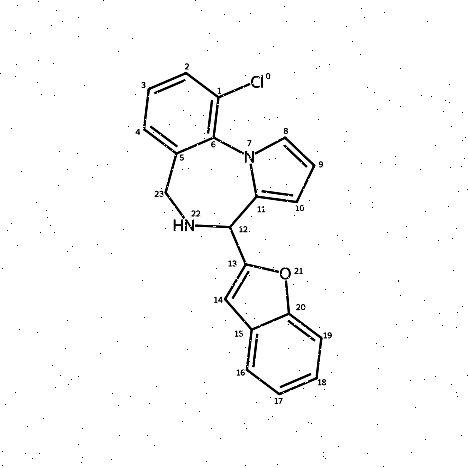 Clc1cccc2c1-n1cccc1C(c1cc3ccccc3o1)NC2